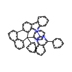 c1ccc(-c2nc(-n3c4ccccc4c4ccc5c(c43)C(c3ccccc3)(c3ccccc3)c3cccc4cccc-5c34)nc3ccccc23)cc1